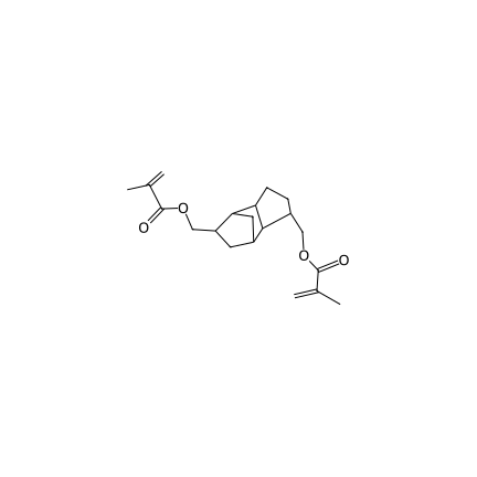 C=C(C)C(=O)OCC1CC2CC1C1CCC(COC(=O)C(=C)C)C21